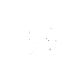 CCOC(=O)c1c(Cl)ccnc1NC(=O)OC(C)(C)C.CCc1cc(Cl)c(C(=O)O)c(NC(=O)OC(C)(C)C)n1